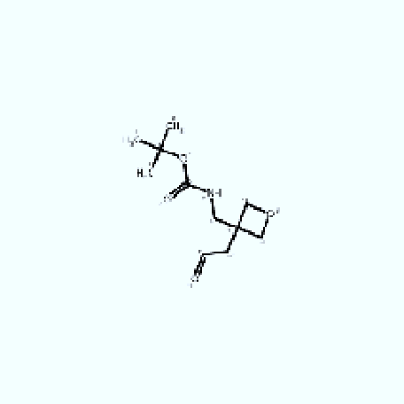 CC(C)(C)OC(=O)NCC1(CC=O)COC1